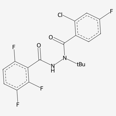 CC(C)(C)N(NC(=O)c1c(F)ccc(F)c1F)C(=O)c1ccc(F)cc1Cl